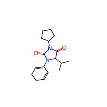 CC(C)C1C(=O)N(C2CCCC2)C(=O)N1C1=CCCC=C1